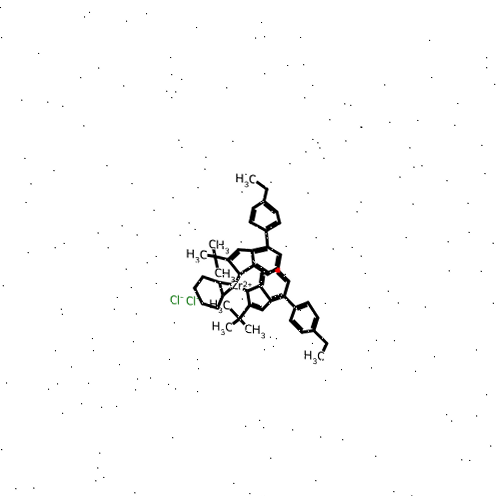 CCc1ccc(-c2cccc3c2C=C(C(C)(C)C)[CH]3[Zr+2]2([CH]3C(C(C)(C)C)=Cc4c(-c5ccc(CC)cc5)cccc43)[CH]3CCCC[CH]32)cc1.[Cl-].[Cl-]